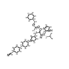 CC(C)C[C@H](NC(=O)[C@@H](CC(=O)OCc1ccccc1)c1ccn(-c2ccc(-c3ccc(C#N)cc3)cc2)c1)c1ncc[nH]1